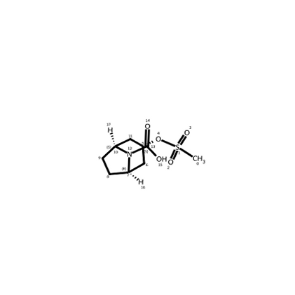 CS(=O)(=O)O[C@@H]1C[C@H]2CC[C@@H](C1)N2C(=O)O